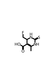 CC1=C(C(=O)O)C(CF)NC(=S)N1